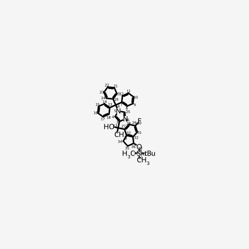 CC(O)(c1cn(C(c2ccccc2)(c2ccccc2)c2ccccc2)cn1)c1cc(F)cc2c1CCC2O[Si](C)(C)C(C)(C)C